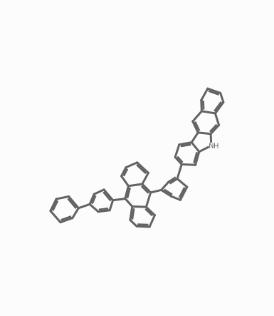 c1ccc(-c2ccc(-c3c4ccccc4c(-c4cccc(-c5ccc6c(c5)[nH]c5cc7ccccc7cc56)c4)c4ccccc34)cc2)cc1